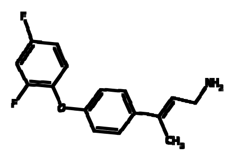 CC(=CCN)c1ccc(Oc2ccc(F)cc2F)cc1